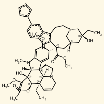 CC[C@]1(O)C[C@H]2CN(CCc3c([nH]c4ccc(-c5ccsc5)cc34)[C@@](C(=O)OC)(C3C=C4C(=CC3OC)N(C)[C@H]3[C@@](O)(C(=O)OC)[C@H](OC(C)=O)[C@]5(CC)C=CCN6CC[C@]43[C@@H]65)C2)C1